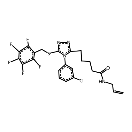 C=CCNC(=O)CCCCc1nnc(SCc2c(F)c(F)c(F)c(F)c2F)n1-c1cccc(Cl)c1